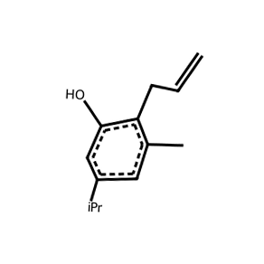 C=CCc1c(C)cc(C(C)C)cc1O